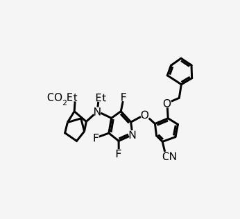 CCOC(=O)C1C2CCC(C2)C1N(CC)c1c(F)c(F)nc(Oc2cc(C#N)ccc2OCc2ccccc2)c1F